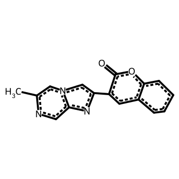 Cc1cn2cc(-c3cc4ccccc4oc3=O)nc2cn1